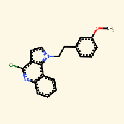 COc1cccc(CCn2ccc3c(Cl)nc4ccccc4c32)c1